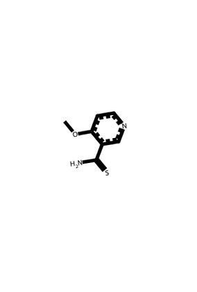 COc1ccncc1C(N)=S